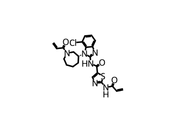 C=CC(=O)Nc1ncc(C(=O)Nc2nc3cccc(Cl)c3n2[C@@H]2CCCCN(C(=O)C=C)C2)s1